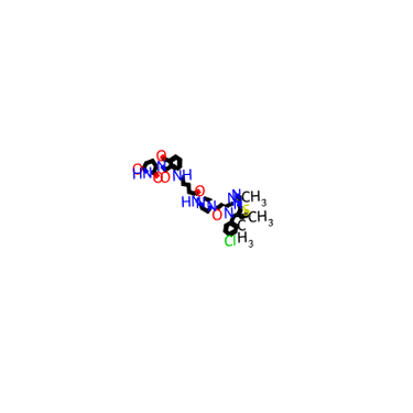 Cc1sc2c(c1C)C(c1ccc(Cl)cc1)=N[C@@H](CC(=O)N1CCN(NC(=O)CCCCNc3cccc4c3C(=O)N(C3CCC(=O)NC3=O)C4=O)CC1)c1nnc(C)n1-2